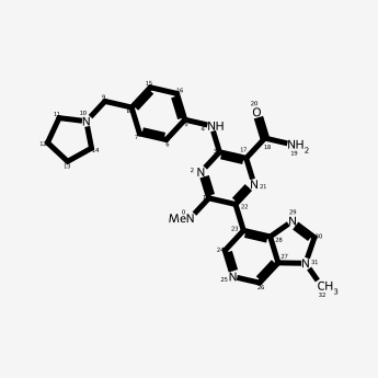 CNc1nc(Nc2ccc(CN3CCCC3)cc2)c(C(N)=O)nc1-c1cncc2c1ncn2C